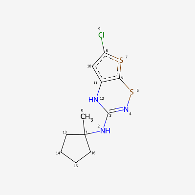 CC1(NC2=NSc3sc(Cl)cc3N2)CCCC1